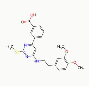 COc1ccc(CCNc2cc(-c3cccc(C(=O)O)c3)nc(SC)n2)cc1OC